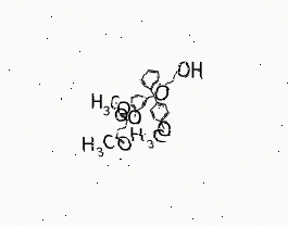 COc1ccc(C(O[CH]CCO)(c2ccccc2)c2ccc(OC)c(OC(=O)CCC(C)=O)c2)cc1